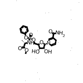 COC(=O)[C@H](C)NP(=O)(OCC1O[C@@H](N2C=CCC(C(N)=O)=C2)[C@H](O)[C@@H]1O)Oc1ccccc1